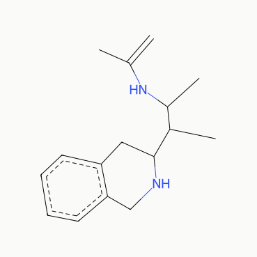 C=C(C)NC(C)C(C)C1Cc2ccccc2CN1